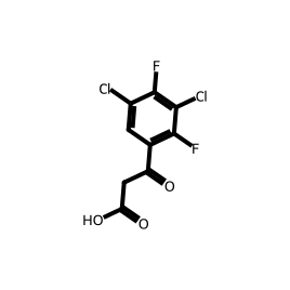 O=C(O)CC(=O)c1cc(Cl)c(F)c(Cl)c1F